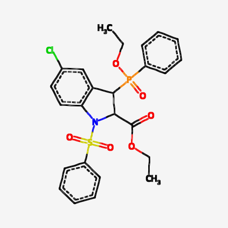 CCOC(=O)C1C(P(=O)(OCC)c2ccccc2)c2cc(Cl)ccc2N1S(=O)(=O)c1ccccc1